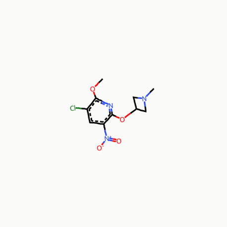 COc1nc(OC2CN(C)C2)c([N+](=O)[O-])cc1Cl